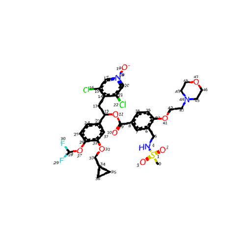 CS(=O)(=O)NCc1cc(C(=O)OC(Cc2c(Cl)c[n+]([O-])cc2Cl)c2ccc(OC(F)F)c(OCC3CC3)c2)ccc1OCCN1CCOCC1